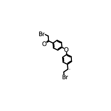 O=C(CBr)c1ccc(Oc2ccc([CH]CBr)cc2)cc1